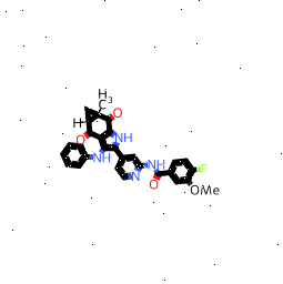 COc1cc(C(=O)Nc2cc(-c3[nH]c4c(c3Nc3ccccc3)C(=O)[C@H]3C[C@@]3(C)C4=O)ccn2)ccc1F